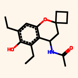 CCc1cc2c(c(CC)c1O)C(NC(C)=O)CC1(CCC1)O2